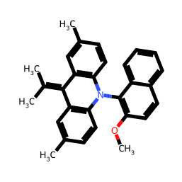 COc1ccc2ccccc2c1N1c2ccc(C)cc2C(=C(C)C)c2cc(C)ccc21